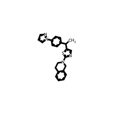 CC(c1ccc(-n2cccn2)cc1)c1cnc(N2CCc3ccccc3C2)s1